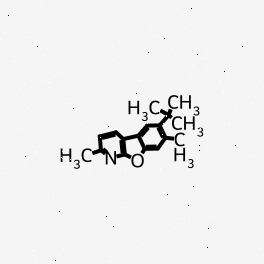 Cc1ccc2c(n1)oc1cc(C)c(C(C)(C)C)cc12